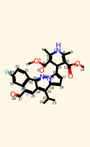 COC(=O)C1=C(C)NC(C)=C(C(=O)OC)C1c1ccc2c(C(C)C)c(/C=C/C=O)c(-c3ccc(F)cc3)nn12